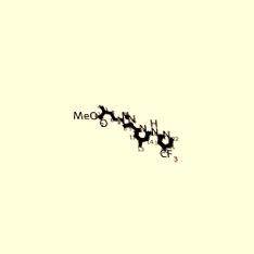 COC(=O)C(C)CCn1cc(-c2cc(C)cc(Nc3cc(C(F)(F)F)ccn3)n2)nn1